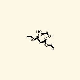 CCOC(=O)CC(=O)OCC.OCCO